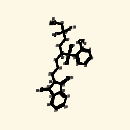 Cc1ccccc1S(=O)(=O)N(CCCN1C(=O)c2ccccc2C1=O)CCC(F)(F)CO